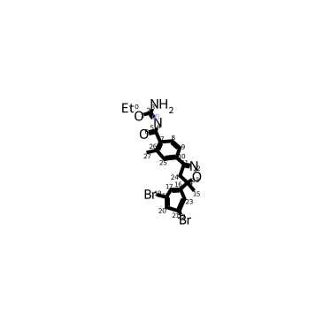 CCO/C(N)=N\C(=O)c1ccc(C2=NOC(C)(c3cc(Br)cc(Br)c3)C2)cc1C